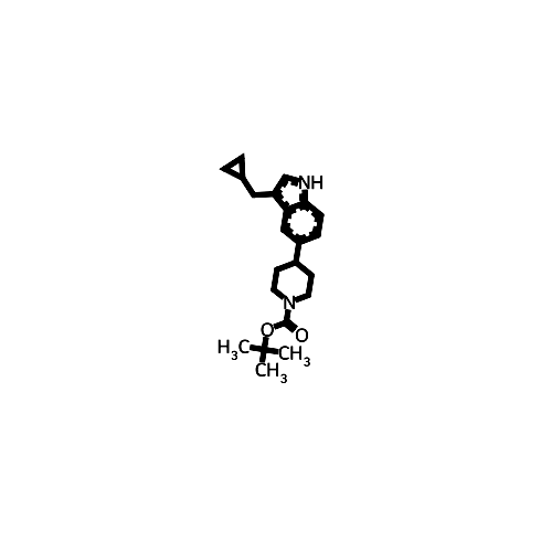 CC(C)(C)OC(=O)N1CCC(c2ccc3[nH]cc(CC4CC4)c3c2)CC1